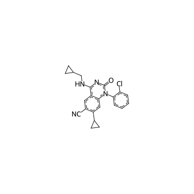 N#Cc1cc2c(NCC3CC3)nc(=O)n(-c3ccccc3Cl)c2cc1C1CC1